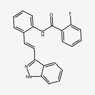 O=C(Nc1ccccc1C=Cc1n[nH]c2ccccc12)c1ccccc1F